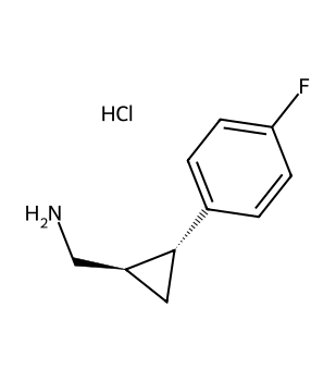 Cl.NC[C@@H]1C[C@H]1c1ccc(F)cc1